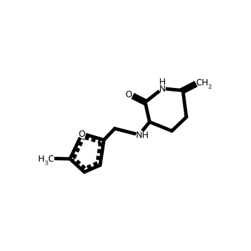 C=C1CCC(NCc2ccc(C)o2)C(=O)N1